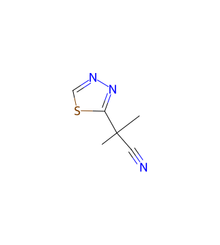 CC(C)(C#N)c1nncs1